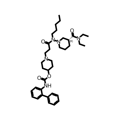 CCCCCN(C(=O)CCN1CCC(OC(=O)Nc2ccccc2-c2ccccc2)CC1)N1CCC[C@@H](C(=O)N(CC)CC)C1